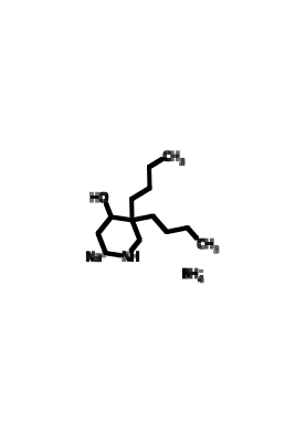 CCCCC1(CCCC)CNCCC1O.[BH4-].[Na+]